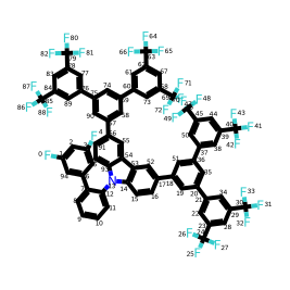 Fc1cc(F)cc(-c2ccccc2-n2c3ccc(-c4cc(-c5cc(C(F)(F)F)cc(C(F)(F)F)c5)cc(-c5cc(C(F)(F)F)cc(C(F)(F)F)c5)c4)cc3c3cc(-c4cc(-c5cc(C(F)(F)F)cc(C(F)(F)F)c5)cc(-c5cc(C(F)(F)F)cc(C(F)(F)F)c5)c4)ccc32)c1